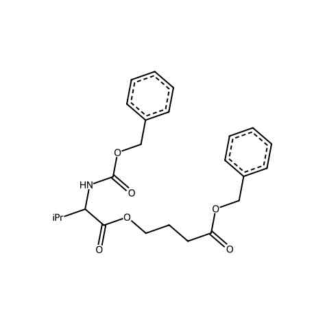 CC(C)C(NC(=O)OCc1ccccc1)C(=O)OCCCC(=O)OCc1ccccc1